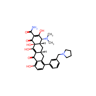 CN(C)[C@@H]1C(O)=C(C(N)=O)C(=O)[C@@]2(O)C(O)=C3C(=O)c4c(O)ccc(-c5cccc(CN6CCCC6)c5)c4C[C@H]3C[C@@H]12